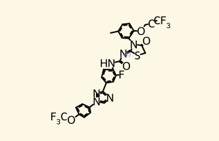 Cc1ccc(OCCC(F)(F)F)c(N2C(=O)CS/C2=N\C(=O)Nc2ccc(-c3ncn(-c4ccc(OC(F)(F)F)cc4)n3)cc2F)c1